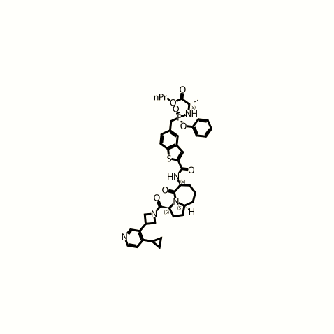 CCCOC(=O)[C@H](C)NP(=O)(Cc1ccc2sc(C(=O)N[C@H]3CCC[C@H]4CC[C@@H](C(=O)N5CC(c6cnccc6C6CC6)C5)N4C3=O)cc2c1)Oc1ccccc1